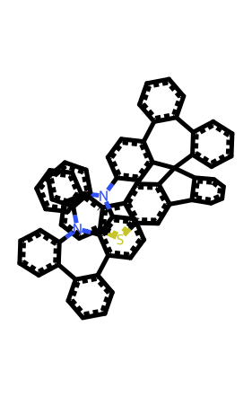 c1ccc(N(c2ccc3c(c2)C2(c4ccccc4-c4ccccc4-3)c3ccccc3-c3cc4sc5ccccc5c4cc32)c2cccc3c2N(c2ccccc2)c2ccccc2-c2ccccc2-3)cc1